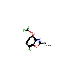 COCc1nc2c(OC(F)F)ccc(Br)c2o1